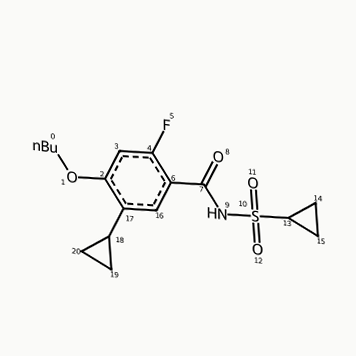 CCCCOc1cc(F)c(C(=O)NS(=O)(=O)C2CC2)cc1C1CC1